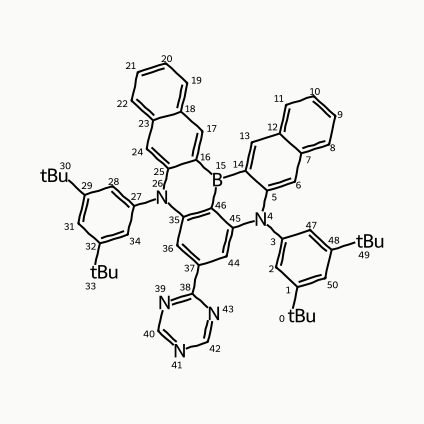 CC(C)(C)c1cc(N2c3cc4ccccc4cc3B3c4cc5ccccc5cc4N(c4cc(C(C)(C)C)cc(C(C)(C)C)c4)c4cc(-c5ncncn5)cc2c43)cc(C(C)(C)C)c1